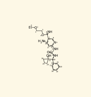 CCOCCOC(=N)c1cnc(NC(=O)N[C@@H](c2ccccc2)C2(O)CCC2)cc1N